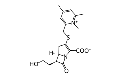 Cc1cc(C)[n+](C)c(CSC2=C(C(=O)[O-])N3C(=O)[C@@H](CCO)[C@H]3C2)c1